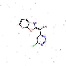 N#C/C(=C1\Nc2ccccc2O1)c1cc(Cl)ncn1